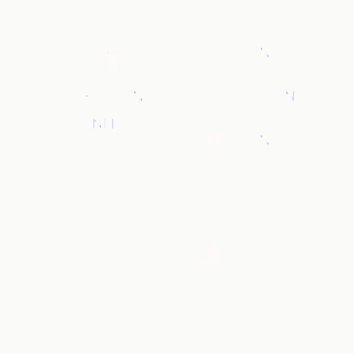 Nc1ncnc(Oc2ccc(Oc3ccccc3)cc2)c1-c1cccc(NC(=O)C2(N)CC2)c1